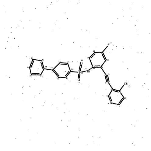 Cc1ccncc1C#Cc1cc(F)ccc1NS(=O)(=O)c1ccc(-c2ccccc2)cc1